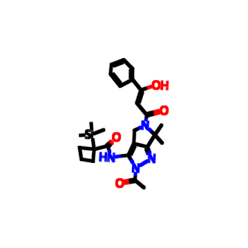 CC(=O)n1nc2c(c1NC(=O)C1([Si](C)(C)C)CCC1)CN(C(=O)/C=C(\O)c1ccccc1)C2(C)C